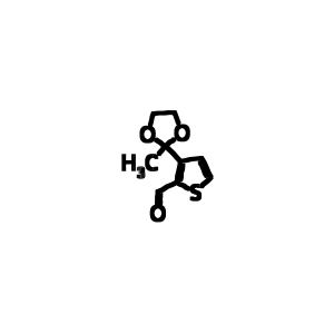 CC1(c2ccsc2C=O)OCCO1